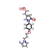 CC1CCCN1CCCOc1ccc(N2CC(CCO)CC2=O)cc1